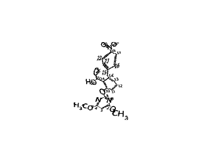 COc1cc(OC)nc(Oc2cccc(-c3ccc([N+](=O)[O-])cc3)c2C(=O)O)n1